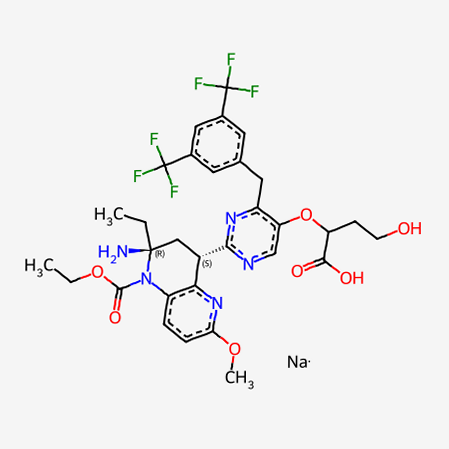 CCOC(=O)N1c2ccc(OC)nc2[C@@H](c2ncc(OC(CCO)C(=O)O)c(Cc3cc(C(F)(F)F)cc(C(F)(F)F)c3)n2)C[C@@]1(N)CC.[Na]